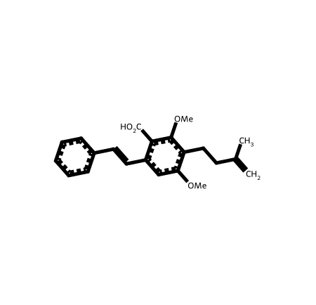 C=C(C)CCc1c(OC)cc(C=Cc2ccccc2)c(C(=O)O)c1OC